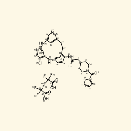 O=C(CC1CCN(C(=O)c2ccns2)CC1)Nc1ccc2cc1CCc1cncc(c1)Nc1ncc(Cl)c(n1)N2.O=C(O)C(F)(F)F.O=C(O)C(F)(F)F